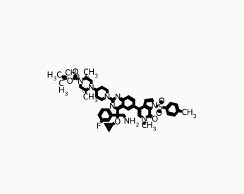 Cc1ccc(S(=O)(=O)n2ccc3c(-c4ccc5nc(N6CCC(N7C[C@@H](C)N(C(=O)OC(C)(C)C)C[C@@H]7C)CC6)nc(C(CN)(OC6CC6)c6cccc(F)c6)c5c4)cn(C)c(=O)c32)cc1